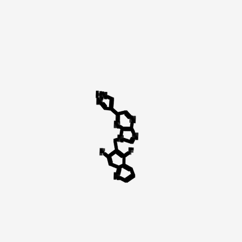 Fc1cc2ncccc2c(F)c1Cn1cnc2ncc(-c3cn[nH]c3)nc21